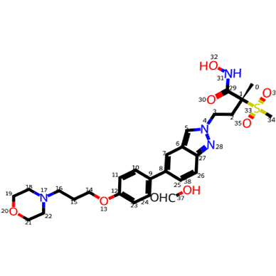 C[C@@](CCn1cc2cc(-c3ccc(OCCCN4CCOCC4)cc3)ccc2n1)(C(=O)NO)S(C)(=O)=O.O=CO